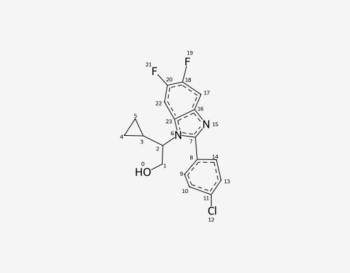 OCC(C1CC1)n1c(-c2ccc(Cl)cc2)nc2cc(F)c(F)cc21